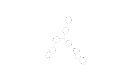 c1ccc(-c2ccc(N(c3ccc(-c4ccc5c(c4)oc4ccccc45)cc3)c3cccc(-c4ccc5ccccc5c4)c3)cc2)cc1